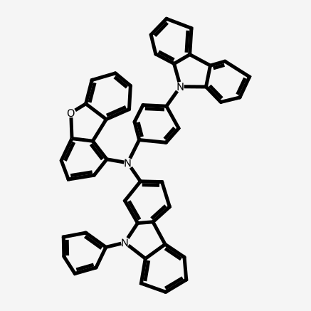 c1ccc(-n2c3ccccc3c3ccc(N(c4ccc(-n5c6ccccc6c6ccccc65)cc4)c4cccc5oc6ccccc6c45)cc32)cc1